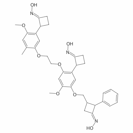 COc1cc(OCCOc2cc(C3CC/C3=N\O)c(OC)cc2C)c(C2CC/C2=N\O)cc1OCC1C/C(=N\O)C1c1ccccc1